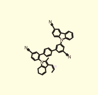 C/C=C\c1c2c(n(-c3ccc(C#N)cc3-c3ccc(-c4cc(C#N)cc(-n5c6ccccc6c6cc(C#N)ccc65)c4)cc3)c1C)CCC=C2